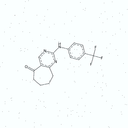 O=C1CCCCc2nc(Nc3ccc(C(F)(F)F)cc3)ncc21